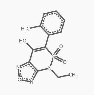 CCN1c2nonc2C(O)=C(c2ccccc2C)S1(=O)=O